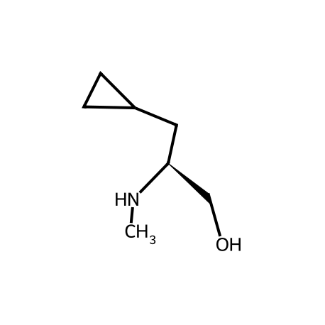 CN[C@H](CO)CC1CC1